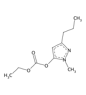 CCCc1cc(OC(=O)OCC)n(C)n1